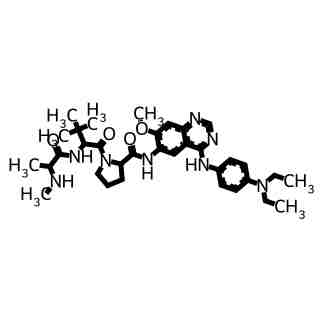 CCN(CC)c1ccc(Nc2ncnc3cc(OC)c(NC(=O)C4CCCN4C(=O)C(NC(=O)C(C)NC)C(C)(C)C)cc23)cc1